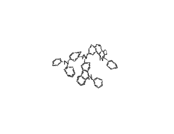 c1ccc(-c2nc3c(ccc4ccc(N(c5cccc(N(c6ccccc6)c6ccccc6)c5)c5ccc6c(c5)c5ccccc5n6-c5ccccc5)cc43)o2)cc1